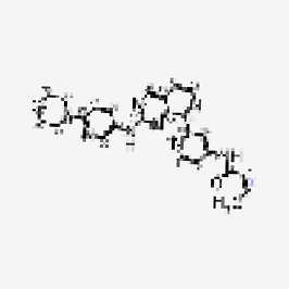 C/C=C\C(=O)Nc1ccnc(-c2nccc3cnc(Nc4ccc(N5CCOCC5)nc4)nc23)c1